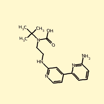 CC(C)(C)N(CCNc1cc(-c2cccc(N)n2)ccn1)C(=O)O